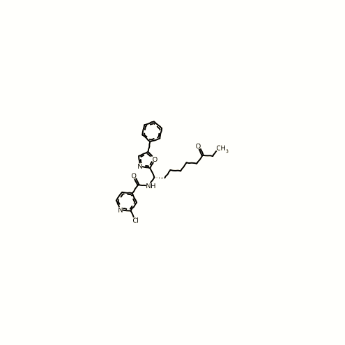 CCC(=O)CCCCC[C@H](NC(=O)c1ccnc(Cl)c1)c1ncc(-c2ccccc2)o1